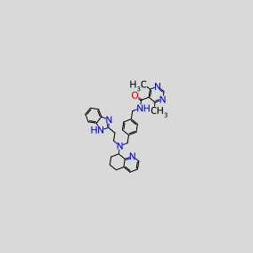 Cc1ncnc(C)c1C(=O)NCc1ccc(CN(CCc2nc3ccccc3[nH]2)C2CCCc3cccnc32)cc1